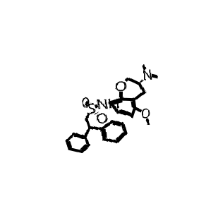 COc1ccc(NS(=O)(=O)CC(c2ccccc2)c2ccccc2)c2c1C[C@@H](N(C)C)CO2